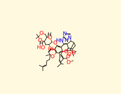 COC(=O)/C(C)=C\CC12OC(C)(C)C3CC(C1=O)C1C4=C(Nc5ncn1n5)c1c(O[C@H]5O[C@H]6COC(C)(C)O[C@@H]6[C@@H](O)[C@@H]5O)c5c(c(CC=C(C)C)c1OC432)OC(C)(CCC=C(C)C)C=C5